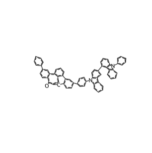 O=c1c2cc3c(cccc3c3cc(-c4ccccc4)ccc13)-c1cc(-c3ccc(-n4c5ccccc5c5cc(-c6cccc7c6c6ccccc6n7-c6ccccc6)ccc54)cc3)ccc1C2